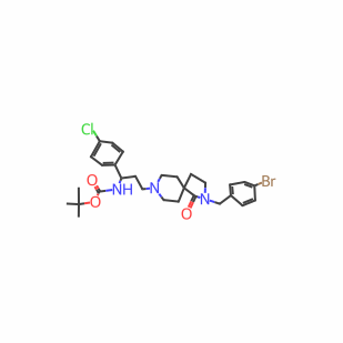 CC(C)(C)OC(=O)NC(CCN1CCC2(CC1)CCN(Cc1ccc(Br)cc1)C2=O)c1ccc(Cl)cc1